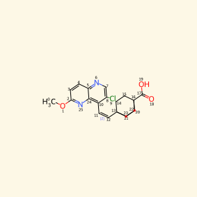 COc1ccc2ncc(Cl)c(/C=C\C34CCC(C(=O)O)(CC3)CC4)c2n1